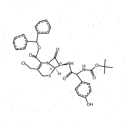 CC(C)(C)OC(=O)NC(C(=O)N[C@@H]1C(=O)N2C(C(=O)OC(c3ccccc3)c3ccccc3)=C(CCl)CS[C@H]12)c1ccc(O)cc1